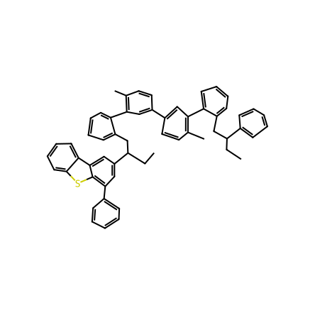 CCC(Cc1ccccc1-c1cc(-c2ccc(C)c(-c3ccccc3CC(CC)c3cc(-c4ccccc4)c4sc5ccccc5c4c3)c2)ccc1C)c1ccccc1